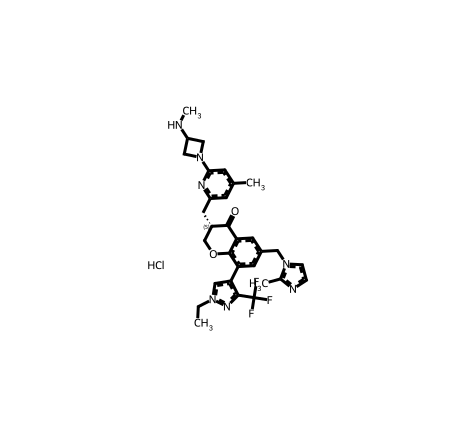 CCn1cc(-c2cc(Cn3ccnc3C)cc3c2OC[C@H](Cc2cc(C)cc(N4CC(NC)C4)n2)C3=O)c(C(F)(F)F)n1.Cl